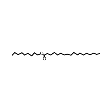 CCCCCCCCCCCCCCCCCC(=O)OCCCCCCCCC